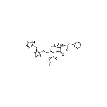 C[Si](C)(C)OC(=O)C1=C(CSc2nnnn2Cc2nnn[nH]2)CS[C@@H]2C(NC(=O)Cc3ccccc3)C(=O)N12